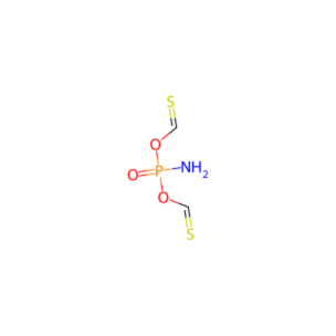 NP(=O)(OC=S)OC=S